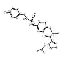 CC(C)Cn1nccc1C(=O)N(C)Cc1ccc(NC(=O)OCc2ccc(Cl)cc2)cc1